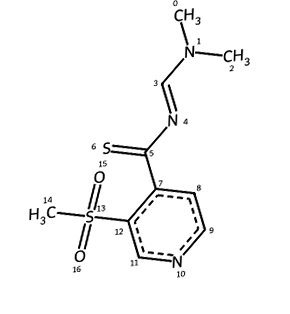 CN(C)C=NC(=S)c1ccncc1S(C)(=O)=O